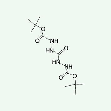 CC(C)(C)OC(=O)NNC(=O)NNC(=O)OC(C)(C)C